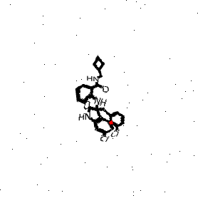 O=C(NCC1CCC1)c1ccccc1NC1(Cc2cccc(Cl)c2)C(=O)Nc2cc(Cl)ccc21